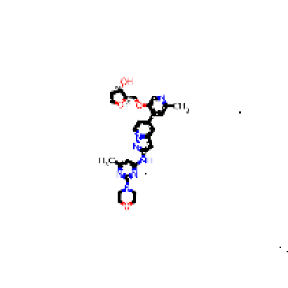 Cc1cc(-c2ccn3nc(Nc4cc(C)nc(N5CCOCC5)n4)cc3c2)c(OC[C@H]2OCC[C@@H]2O)cn1